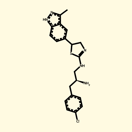 Cc1n[nH]c2ccc(C3CN=C(NC[C@@H](N)Cc4ccc(Cl)cc4)S3)cc12